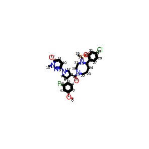 COc1ccc([C@@H]2CN(c3ccc(=O)n(C)n3)C[C@H]2C(=O)N2CCCC(c3ccc(Cl)cc3)N([S+](C)[O-])CC2)c(F)c1